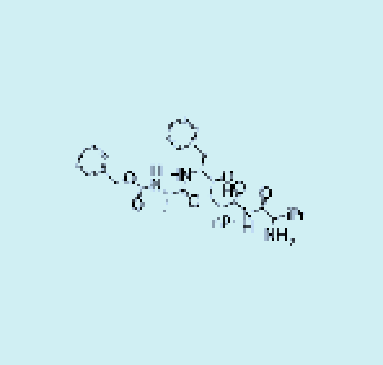 CCC[C@H](C[C@H](O)[C@H](Cc1ccccc1)NC(=O)[C@H](C)NC(=O)OCc1ccccc1)C(=O)NC(=O)C(N)C(C)C